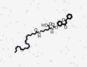 CC/C=C\C/C=C\C/C=C\C/C=C\C/C=C\CCCC(=O)NCCCCC(NC(=O)Oc1ccc2oc(-c3ccccc3)cc(=O)c2c1)C(=O)O